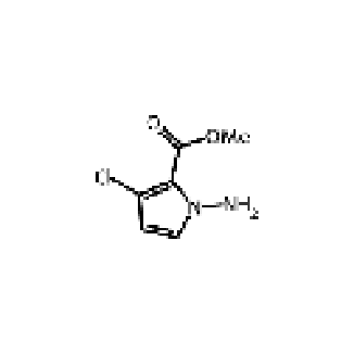 COC(=O)c1c(Cl)ccn1N